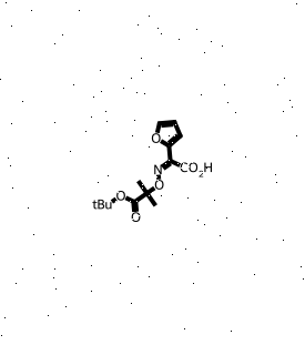 CC(C)(C)OC(=O)C(C)(C)O/N=C(\C(=O)O)c1ccco1